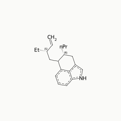 C=C[C@@H](CC)CC1c2cccc3[nH]cc(c23)C[C@H]1CCC